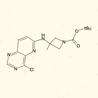 CC1(Nc2ccc3ncnc(Cl)c3n2)CN(C(=O)OC(C)(C)C)C1